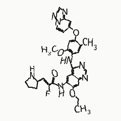 CCOc1cc2ncnc(Nc3cc(C)c(Oc4ccn5ncnc5c4)cc3OC)c2cc1NC(=O)C(F)=CC1CCCN1